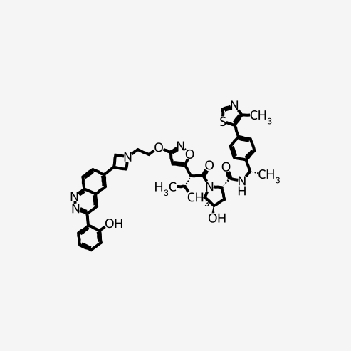 Cc1ncsc1-c1ccc([C@H](C)NC(=O)[C@@H]2C[C@@H](O)CN2C(=O)[C@@H](c2cc(OCCN3CC(c4ccc5nnc(-c6ccccc6O)cc5c4)C3)no2)C(C)C)cc1